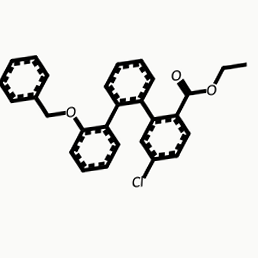 CCOC(=O)c1ccc(Cl)cc1-c1ccccc1-c1ccccc1OCc1ccccc1